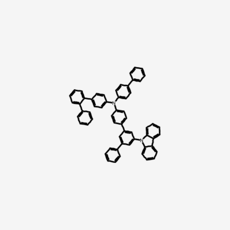 c1ccc(-c2ccc(N(c3ccc(-c4cc(-c5ccccc5)cc(-n5c6ccccc6c6ccccc65)c4)cc3)c3ccc(-c4ccccc4-c4ccccc4)cc3)cc2)cc1